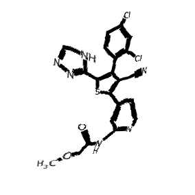 COCC(=O)Nc1cc(-c2sc(-c3nnc[nH]3)c(-c3ccc(Cl)cc3Cl)c2C#N)ccn1